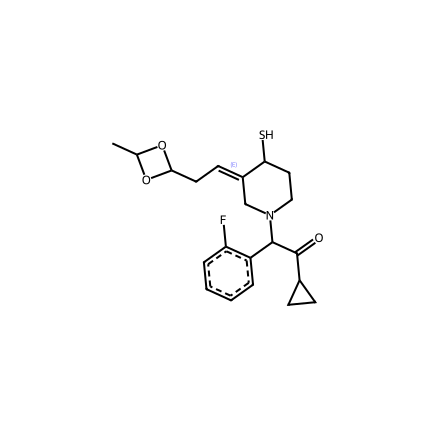 CC1OC(C/C=C2\CN(C(C(=O)C3CC3)c3ccccc3F)CCC2S)O1